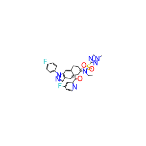 CCN([C@H]1CCC2=Cc3c(cnn3-c3ccc(F)cc3)C[C@]2(C(=O)c2cc(F)ccn2)C1)S(=O)(=O)c1ncn(C)n1